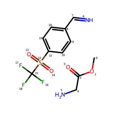 COC(=O)CN.N=Cc1ccc(S(=O)(=O)C(F)(F)F)cc1